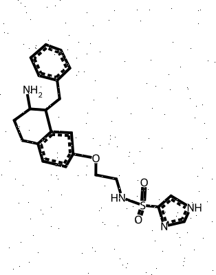 NC1CCc2ccc(OCCNS(=O)(=O)c3c[nH]cn3)cc2C1Cc1ccccc1